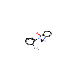 Cc1ccccc1-n1cnc2ccccc2c1=O